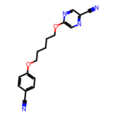 N#Cc1ccc(OCCCCCOc2cnc(C#N)cn2)cc1